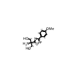 COc1ccc(-c2noc(C(N)(CO)CO)n2)cc1